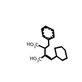 O=C(O)C(=CC1CCCCC1)C(Cc1ccccc1)C(=O)O